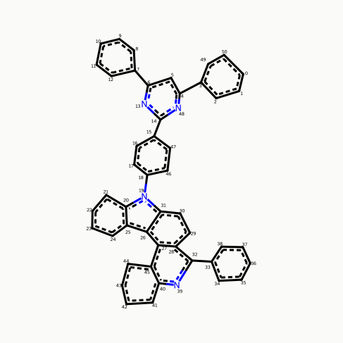 c1ccc(-c2cc(-c3ccccc3)nc(-c3ccc(-n4c5ccccc5c5c6c(ccc54)c(-c4ccccc4)nc4ccccc46)cc3)n2)cc1